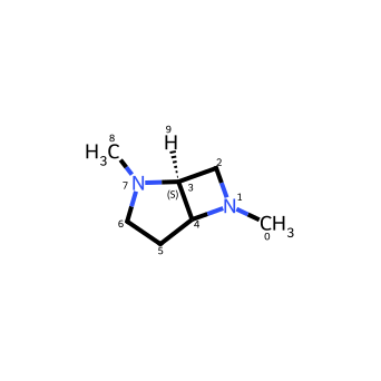 CN1C[C@H]2C1CCN2C